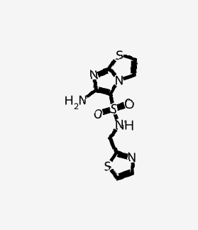 Nc1nc2sccn2c1S(=O)(=O)NCc1nccs1